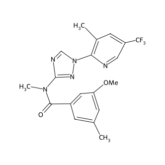 COc1cc(C)cc(C(=O)N(C)c2ncn(-c3ncc(C(F)(F)F)cc3C)n2)c1